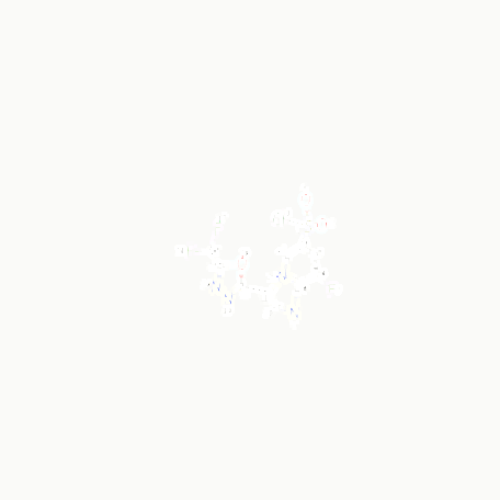 O=S(=O)(Cl)c1cc(F)c2ncc(-c3nnc(C(F)F)o3)n2c1